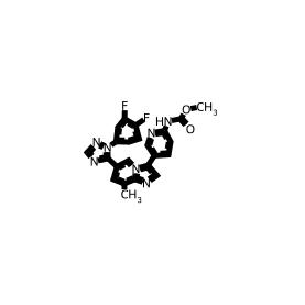 COC(=O)Nc1ccc(-c2cnc3c(C)cc(-c4ncnn4-c4ccc(F)c(F)c4)cn23)cn1